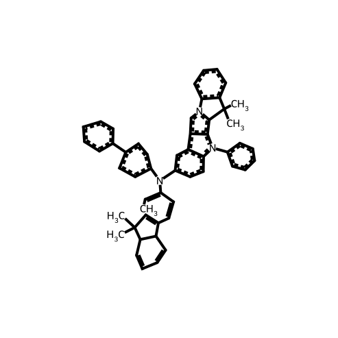 C/C=C(\C=C/C1=CC(C)(C)C2C=CC=CC12)N(c1ccc(-c2ccccc2)cc1)c1ccc2c(c1)c1cn3c(c1n2-c1ccccc1)C(C)(C)c1ccccc1-3